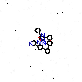 c1ccc(-c2cc(-n3c4ccncc4c4ccc5c(c43)N(c3ccccc3)c3ccccc3-c3ccccc3-5)nc(-c3ccccc3)n2)cc1